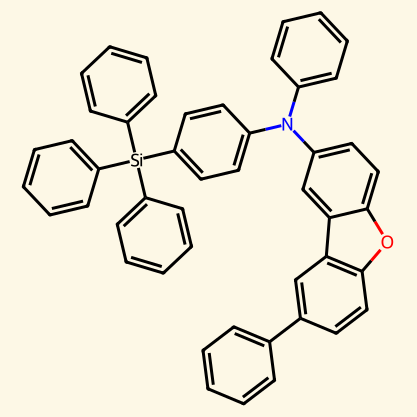 c1ccc(-c2ccc3oc4ccc(N(c5ccccc5)c5ccc([Si](c6ccccc6)(c6ccccc6)c6ccccc6)cc5)cc4c3c2)cc1